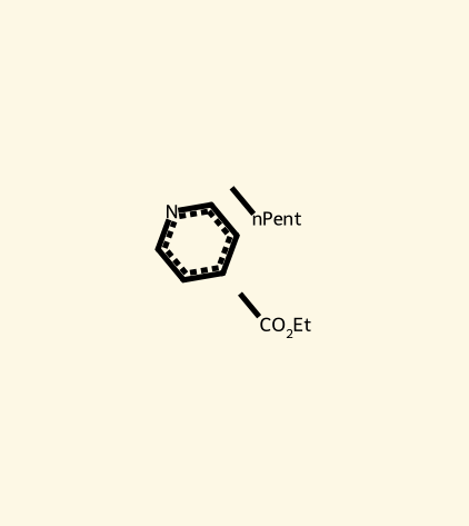 CCCCCC.CCOC(C)=O.c1ccncc1